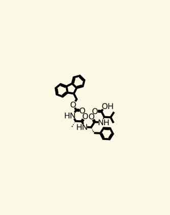 CC(C)[C@H](NC(=O)[C@H](Cc1ccccc1)NC(=O)[C@H](C)NC(=O)OCC1c2ccccc2-c2ccccc21)C(=O)O